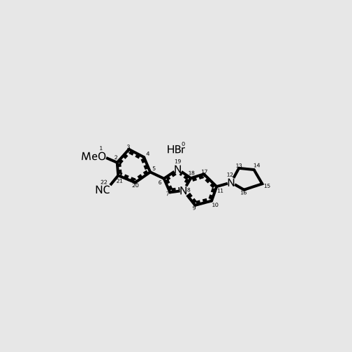 Br.COc1ccc(-c2cn3ccc(N4CCCC4)cc3n2)cc1C#N